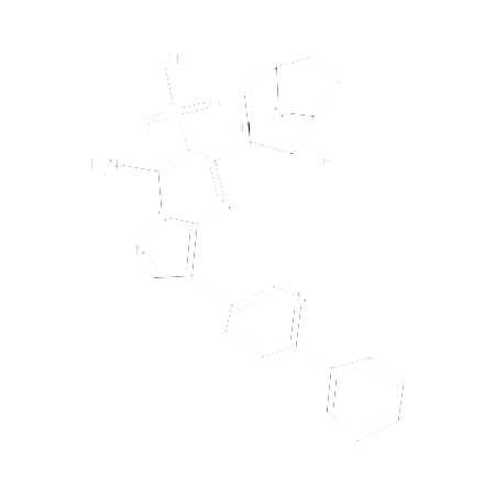 CS(=O)(=O)c1c(C2CC3CC[C@@H](C2)N3C=O)nc2c(-c3ccc(-c4ccccc4)nc3)cnn2c1N